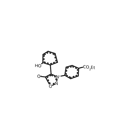 CCOC(=O)c1ccc(-[n+]2noc([O-])c2-c2ccccc2O)cc1